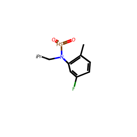 Cc1ccc(F)cc1N(CC(C)C)[SH](=O)=O